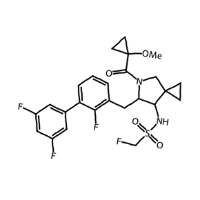 COC1(C(=O)N2CC3(CC3)C(NS(=O)(=O)CF)C2Cc2cccc(-c3cc(F)cc(F)c3)c2F)CC1